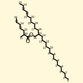 CCCCCCCCCCCCCCCC(CCCCCCCCCC)COC(=O)C(C)CCCCC